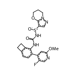 COc1cc(-c2ccc3c(c2NC(=O)N[S+]([O-])c2cnn4c2OCCC4)CC3)c(F)cn1